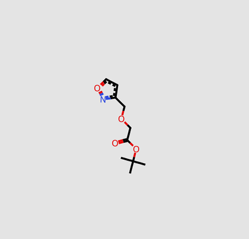 CC(C)(C)OC(=O)COCc1ccon1